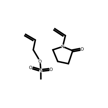 C=CCOS(C)(=O)=O.C=CN1CCCC1=O